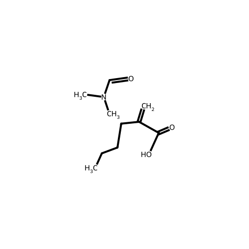 C=C(CCCC)C(=O)O.CN(C)C=O